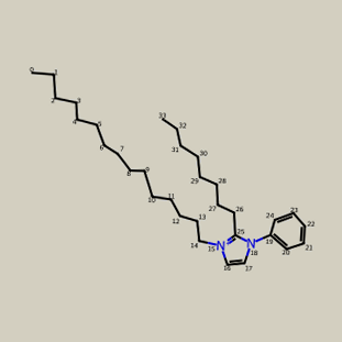 CCCCCCCCCCCCCCC[n+]1ccn(-c2ccccc2)c1CCCCCCCC